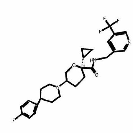 O=C(NCc1cncc(C(F)(F)F)c1)[C@@]1(C2CC2)CCC(N2CCC(c3ccc(F)cc3)CC2)CO1